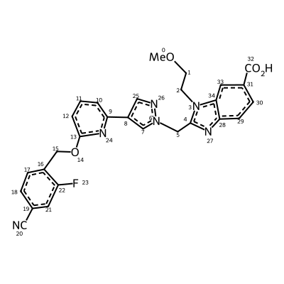 COCCn1c(Cn2cc(-c3cccc(OCc4ccc(C#N)cc4F)n3)cn2)nc2ccc(C(=O)O)cc21